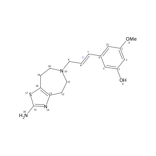 COc1cc(O)cc(/C=C/CN2CCc3nc(N)sc3CC2)c1